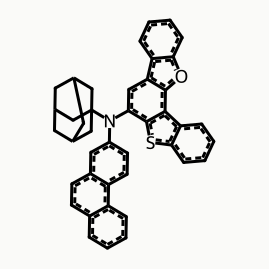 c1ccc2c(c1)ccc1cc(N(c3cc4c5ccccc5oc4c4c3sc3ccccc34)C34CC5CC(CC(C5)C3)C4)ccc12